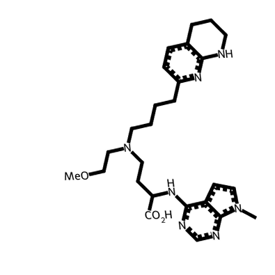 COCCN(CCCCc1ccc2c(n1)NCCC2)CCC(Nc1ncnc2c1ccn2C)C(=O)O